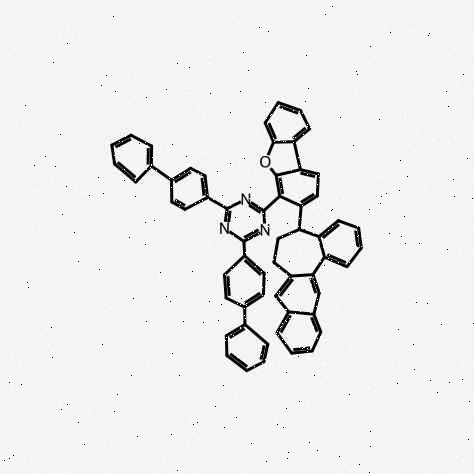 c1ccc(-c2ccc(-c3nc(-c4ccc(-c5ccccc5)cc4)nc(-c4c(C5CCc6cc7ccccc7cc6-c6ccccc65)ccc5c4oc4ccccc45)n3)cc2)cc1